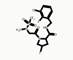 CN(CC(=O)N1CC(F)CC1C(=O)NCc1cccc(Cl)c1F)S(=O)(=O)C(F)(F)F